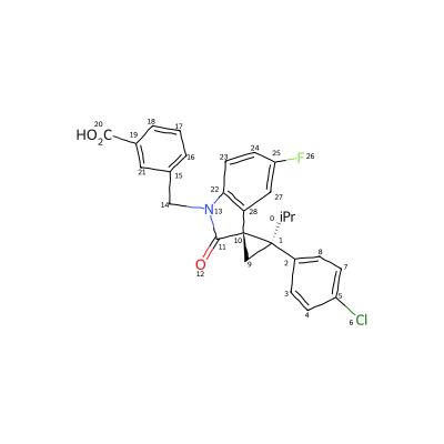 CC(C)[C@]1(c2ccc(Cl)cc2)C[C@]12C(=O)N(Cc1cccc(C(=O)O)c1)c1ccc(F)cc12